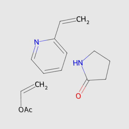 C=COC(C)=O.C=Cc1ccccn1.O=C1CCCN1